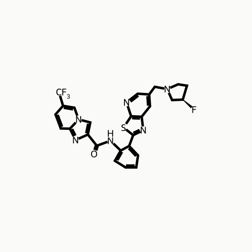 O=C(Nc1ccccc1-c1nc2cc(CN3CC[C@@H](F)C3)cnc2s1)c1cn2cc(C(F)(F)F)ccc2n1